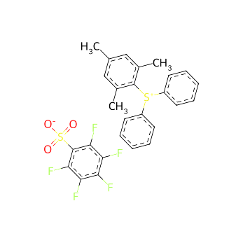 Cc1cc(C)c([S+](c2ccccc2)c2ccccc2)c(C)c1.O=S(=O)([O-])c1c(F)c(F)c(F)c(F)c1F